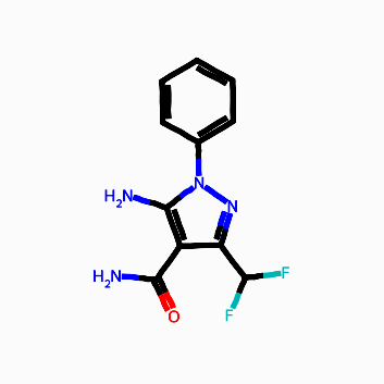 NC(=O)c1c(C(F)F)nn(-c2ccccc2)c1N